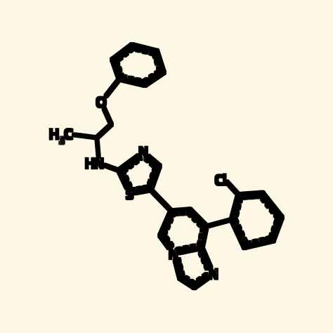 CC(COc1ccccc1)Nc1ncc(-c2cc(-c3ccccc3Cl)c3nccn3c2)s1